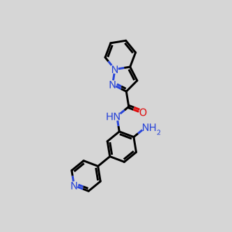 Nc1ccc(-c2ccncc2)cc1NC(=O)c1cc2ccccn2n1